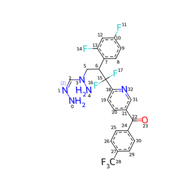 N/N=C\N(N)CC(c1ccc(F)cc1F)C(F)(F)c1ccc(C(=O)c2ccc(C(F)(F)F)cc2)cn1